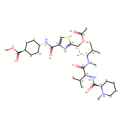 COC(=O)[C@H]1CC[C@H](NC(=O)c2csc([C@@H](C[C@H](C(C)C)N(C)C(=O)[C@@H](NC(=O)[C@H]3CCCCN3C)C(C)C)OC(C)=O)n2)CC1